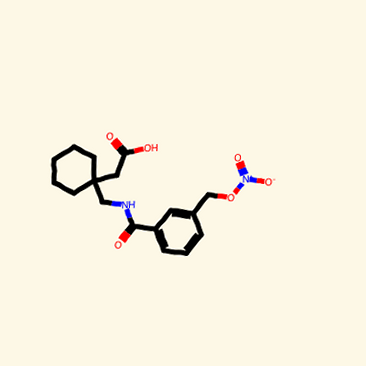 O=C(O)CC1(CNC(=O)c2cccc(CO[N+](=O)[O-])c2)CCCCC1